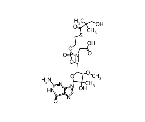 COC1[C@@H](COP(=O)(NCC(=O)O)OCCSC(=O)C(C)(C)CO)O[C@@H](n2cnc3c(=O)[nH]c(N)nc32)C1(C)O